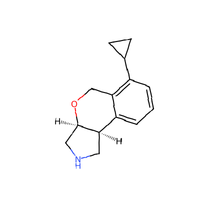 c1cc(C2CC2)c2c(c1)[C@H]1CNC[C@H]1OC2